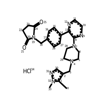 Cc1c(CN2CCN(c3nccnc3-c3ccc(CN4C(=O)CCC4=O)cc3)CC2)cnn1C.Cl